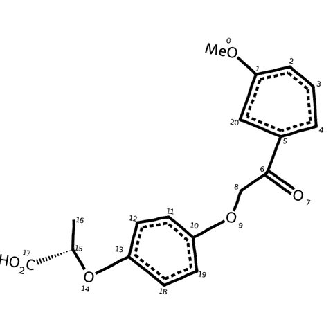 COc1cccc(C(=O)COc2ccc(O[C@@H](C)C(=O)O)cc2)c1